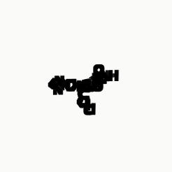 O=C1CNC(=O)N1C[C@H]1CN(C2CCN(c3ncccn3)CC2)C(Cc2ccc(Cl)cc2)CO1